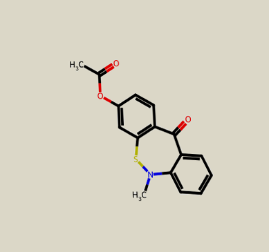 CC(=O)Oc1ccc2c(c1)SN(C)c1ccccc1C2=O